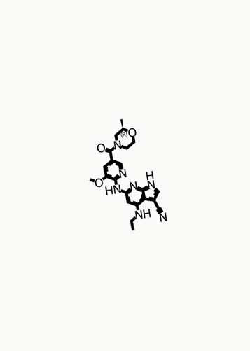 CCNc1cc(Nc2ncc(C(=O)N3CCO[C@H](C)C3)cc2OC)nc2[nH]cc(C#N)c12